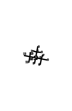 CC(C)(C)[Si](C)(C(C)(C)C)C(C)(C)C